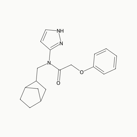 O=C(COc1ccccc1)N(CC1CC2CCC1C2)c1cc[nH]n1